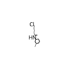 C=C(CCCCCl)Nc1cccc(C)c1